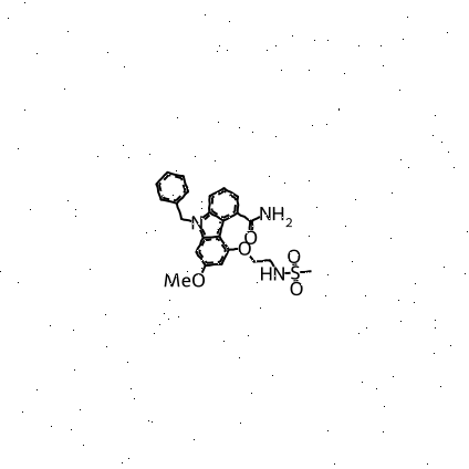 COc1cc(OCCNS(C)(=O)=O)c2c3c(C(N)=O)cccc3n(Cc3ccccc3)c2c1